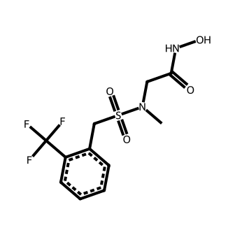 CN(CC(=O)NO)S(=O)(=O)Cc1ccccc1C(F)(F)F